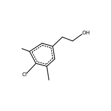 Cc1cc(CCO)cc(C)c1Cl